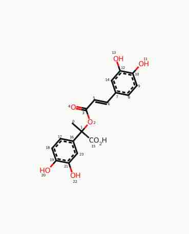 CC(OC(=O)C=Cc1ccc(O)c(O)c1)(C(=O)O)c1ccc(O)c(O)c1